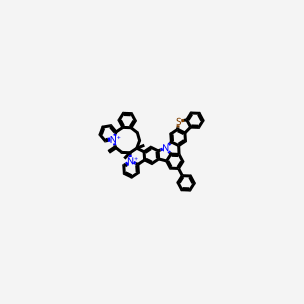 C=C1CC2(C)[n+]3ccccc3-c3cc4c5cc(-c6ccccc6)cc6c7cc8c(cc7n(c4cc3C2(C)CCc2ccccc2-c2cccc[n+]21)c56)sc1ccccc18